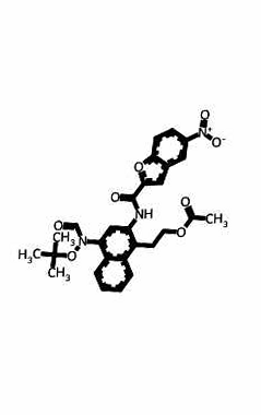 CC(=O)OCCc1c(NC(=O)c2cc3cc([N+](=O)[O-])ccc3o2)cc(N(C=O)OC(C)(C)C)c2ccccc12